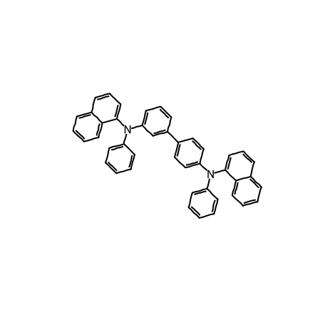 c1ccc(N(c2ccc(-c3cccc(N(c4ccccc4)c4cccc5ccccc45)c3)cc2)c2cccc3ccccc23)cc1